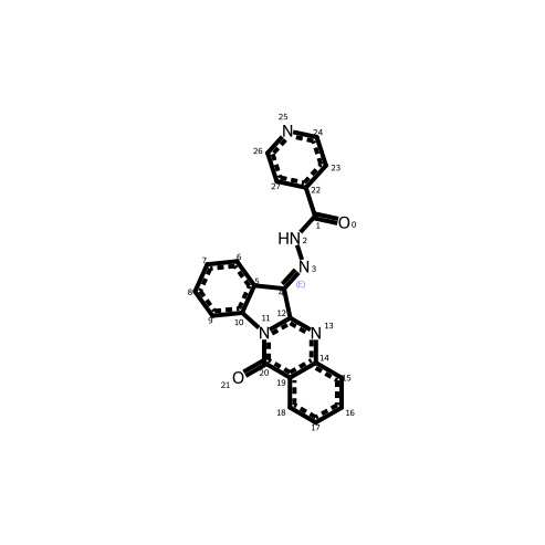 O=C(N/N=C1\c2ccccc2-n2c1nc1ccccc1c2=O)c1ccncc1